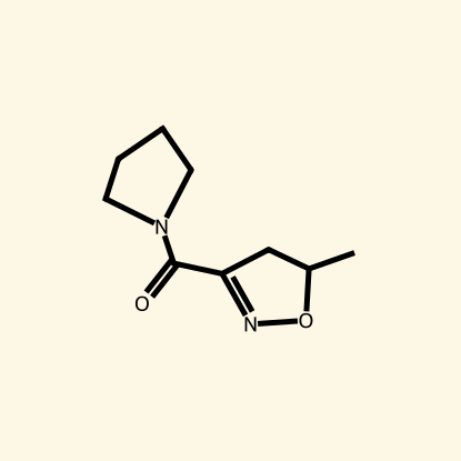 CC1CC(C(=O)N2CCCC2)=NO1